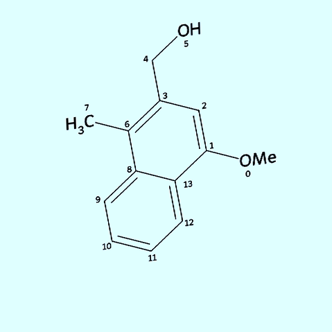 COc1cc(CO)c(C)c2ccccc12